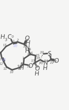 C/C1=C/C(=O)N[C@@H]2C[C@@H](CCC/C=C\CC1)O[C@@](O)([C@@H]1CSC(=O)N1)C2